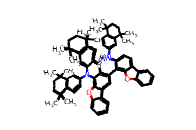 CC1(C)CCC(C)(C)c2cc(Nc3ccc4c(oc5ccccc54)c3-c3cc4c(oc5ccccc54)c4c3Bc3cc5c(cc3N4c3ccc4c(c3)C(C)(C)CCC4(C)C)C(C)(C)CCC5(C)C)ccc21